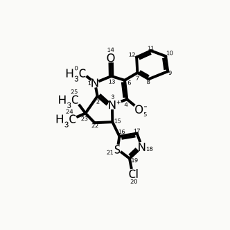 Cn1c2[n+](c([O-])c(-c3ccccc3)c1=O)C(c1cnc(Cl)s1)CC2(C)C